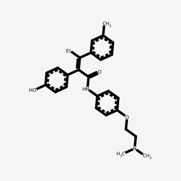 CCC(=C(C(=O)Nc1ccc(OCCN(C)C)cc1)c1ccc(O)cc1)c1cccc(C)c1